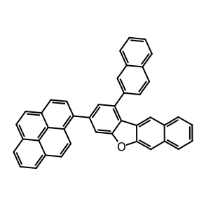 c1ccc2cc(-c3cc(-c4ccc5ccc6cccc7ccc4c5c67)cc4oc5cc6ccccc6cc5c34)ccc2c1